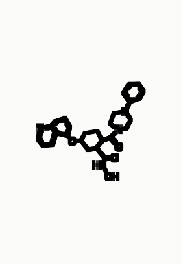 O=C(NO)C1CC(Oc2cccc3ncccc23)CCC1C(=O)N1CCN(c2ccccc2)CC1